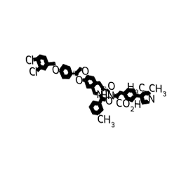 Cc1cccc(C(=O)N2Cc3cc4c(cc3C[C@H]2C(=O)N[C@@H](Cc2ccc(-c3ccnc(C)c3C)cc2)C(=O)O)OC[C@H](c2ccc(OCc3ccc(Cl)c(Cl)c3)cc2)O4)c1